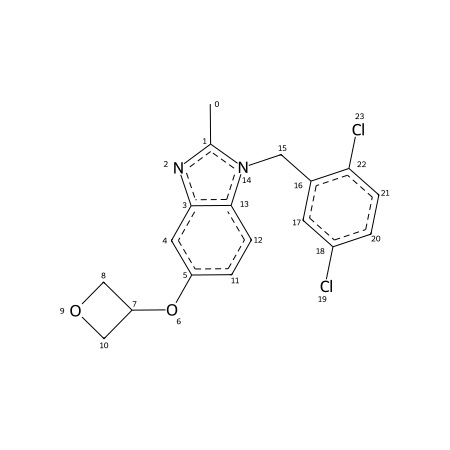 Cc1nc2cc(OC3COC3)ccc2n1Cc1cc(Cl)ccc1Cl